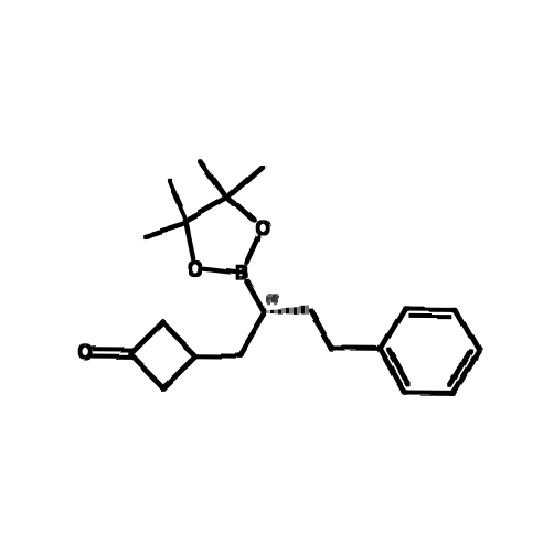 CC1(C)OB([C@H](CCc2ccccc2)CC2CC(=O)C2)OC1(C)C